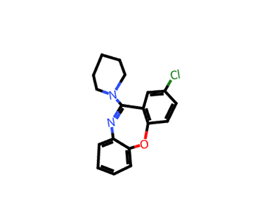 Clc1ccc2c(c1)C(N1CCCCC1)=Nc1ccccc1O2